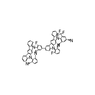 N#Cc1cc(C#N)c(-n2c3ccccc3c3cc4c5cc(-c6cc(F)c(-n7c8ccccc8c8cc9c%10ccccc%10n(-c%10c(C#N)cccc%10C#N)c9cc87)c(F)c6)ccc5n(-c5c(F)cccc5F)c4cc32)c(C(F)(F)F)c1